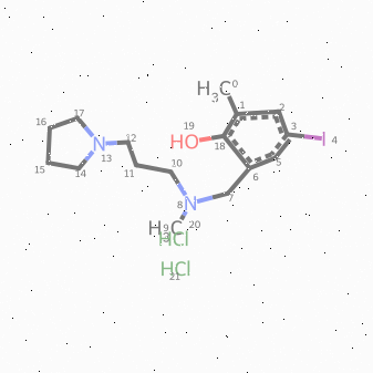 Cc1cc(I)cc(CN(C)CCCN2CCCC2)c1O.Cl.Cl